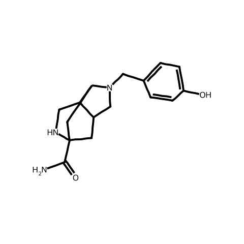 NC(=O)C12CC3CN(Cc4ccc(O)cc4)C(C1)C3CN2